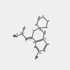 CC(C)(C)[S+]([O-])/N=C1\CC2(CCCOC2)Oc2ccc(Br)cc21